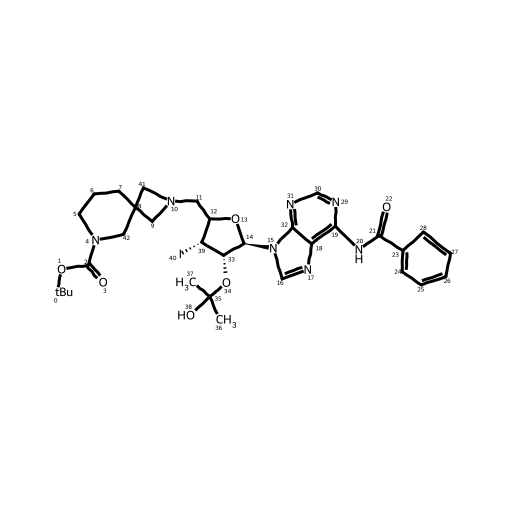 CC(C)(C)OC(=O)N1CCCC2(CN(CC3O[C@@H](n4cnc5c(NC(=O)c6ccccc6)ncnc54)[C@H](OC(C)(C)O)[C@@H]3I)C2)C1